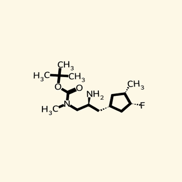 C[C@H]1C[C@@H](C[C@H](N)CN(C)C(=O)OC(C)(C)C)C[C@H]1F